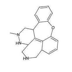 CN1CC2C3=C4C(=CC=CC4CNCC3N1)Oc1ccccc12